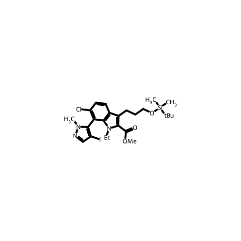 CCn1c(C(=O)OC)c(CCCO[Si](C)(C)C(C)(C)C)c2ccc(Cl)c(-c3c(I)cnn3C)c21